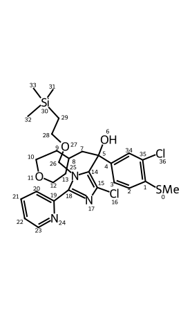 CSc1ccc(C(O)(CC2CCOCC2)c2c(Cl)nc(-c3ccccn3)n2COCC[Si](C)(C)C)cc1Cl